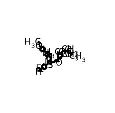 CCOC(=O)C(C)(C)Oc1ccc(C(=O)CCc2sc(-c3ccc(C(F)(F)F)cc3)nc2CN2CCN(c3ccc(OCC)cc3)CC2)cc1C